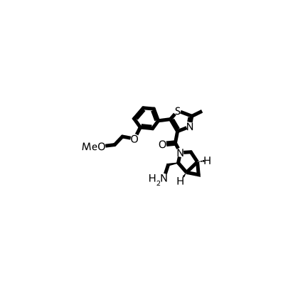 COCCOc1cccc(-c2sc(C)nc2C(=O)N2C[C@H]3C[C@H]3[C@H]2CN)c1